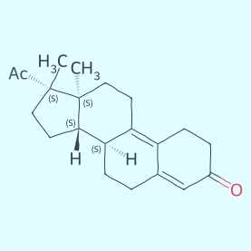 CC(=O)[C@@]1(C)CC[C@H]2[C@@H]3CCC4=CC(=O)CCC4=C3CC[C@@]21C